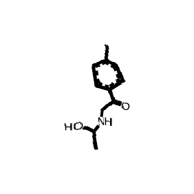 Cc1ccc(C(=O)CNC(C)O)cc1